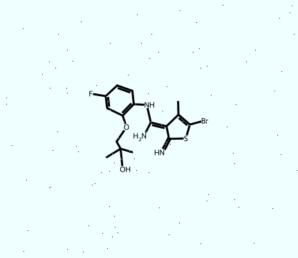 CC1=C(Br)SC(=N)/C1=C(\N)Nc1ccc(F)cc1OCC(C)(C)O